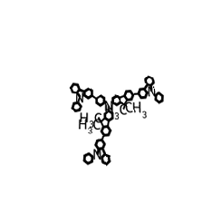 CC1(C)c2cc(-c3ccc4c(c3)c3ccccc3n4-c3ccccc3)ccc2-c2ccc(N(c3ccc(-c4ccc5c6ccccc6n(-c6ccccc6)c5c4)cc3)c3ccc4c(c3)C(C)(C)c3cc(-c5ccc6c(c5)c5ccccc5n6-c5ccccc5)ccc3-4)cc21